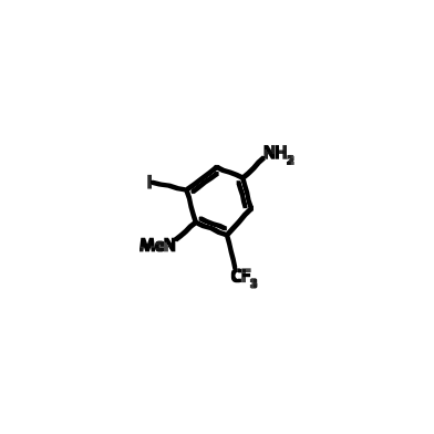 CNc1c(I)cc(N)cc1C(F)(F)F